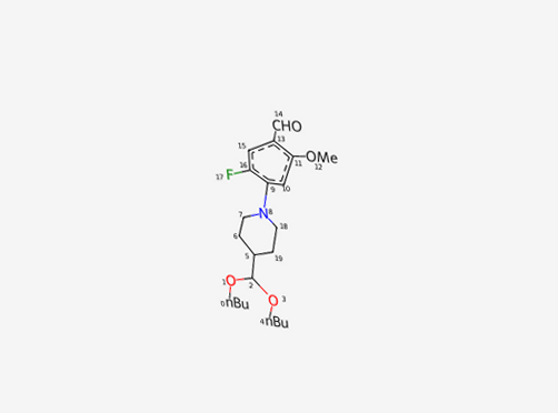 CCCCOC(OCCCC)C1CCN(c2cc(OC)c(C=O)cc2F)CC1